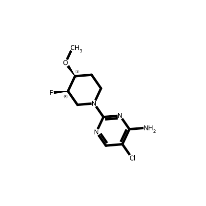 CO[C@H]1CCN(c2ncc(Cl)c(N)n2)C[C@H]1F